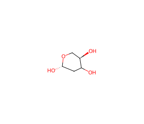 OC1C[C@H](O)OC[C@H]1O